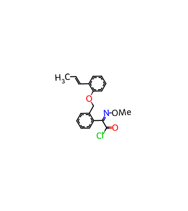 CC=Cc1ccccc1OCc1ccccc1C(=NOC)C(=O)Cl